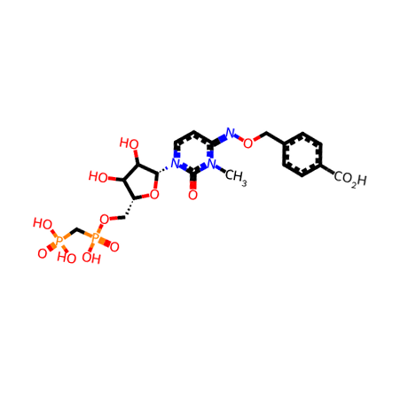 Cn1c(=O)n([C@@H]2O[C@H](COP(=O)(O)CP(=O)(O)O)C(O)C2O)cc/c1=N/OCc1ccc(C(=O)O)cc1